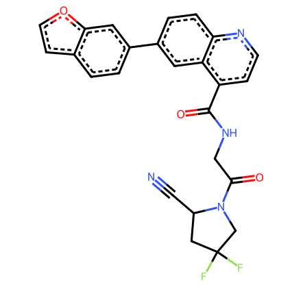 N#CC1CC(F)(F)CN1C(=O)CNC(=O)c1ccnc2ccc(-c3ccc4ccoc4c3)cc12